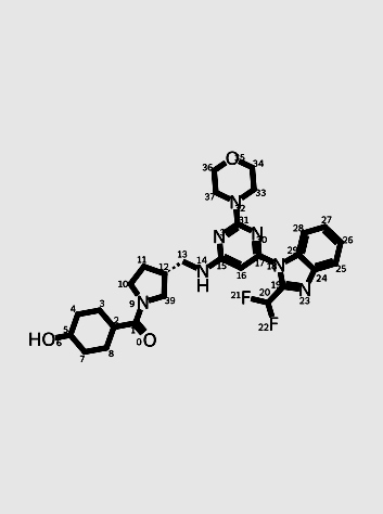 O=C(C1CCC(O)CC1)N1CC[C@H](CNc2cc(-n3c(C(F)F)nc4ccccc43)nc(N3CCOCC3)n2)C1